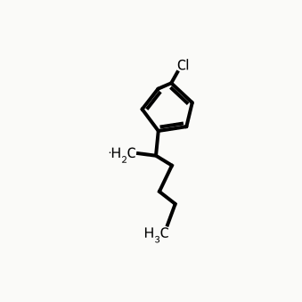 [CH2]C(CCCC)c1ccc(Cl)cc1